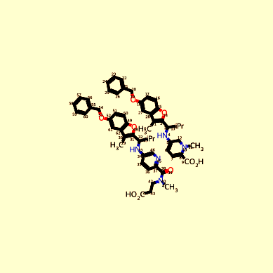 Cc1c(C(NC2=CC=C(C(=O)O)N(C)C2)C(C)C)oc2ccc(OCc3ccccc3)cc12.Cc1c(C(Nc2ccc(C(=O)N(C)CCC(=O)O)nc2)C(C)C)oc2ccc(OCc3ccccc3)cc12